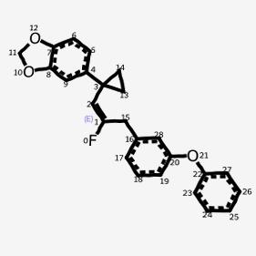 F/C(=C/C1(c2ccc3c(c2)OCO3)CC1)Cc1cccc(Oc2ccccc2)c1